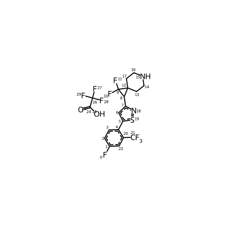 Fc1ccc(-c2cc(C3C(F)(F)C34CCNCC4)ns2)c(C(F)(F)F)c1.O=C(O)C(F)(F)F